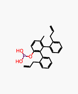 C=CCc1ccccc1-c1c(C)ccc(OP(O)O)c1-c1ccccc1CC=C